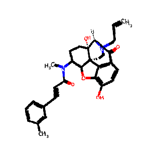 C=CCN1CC[C@]23c4c5ccc(O)c4OC2C(N(C)C(=O)/C=C/c2cccc(C)c2)CC[C@@]3(O)[C@H]1C5=O